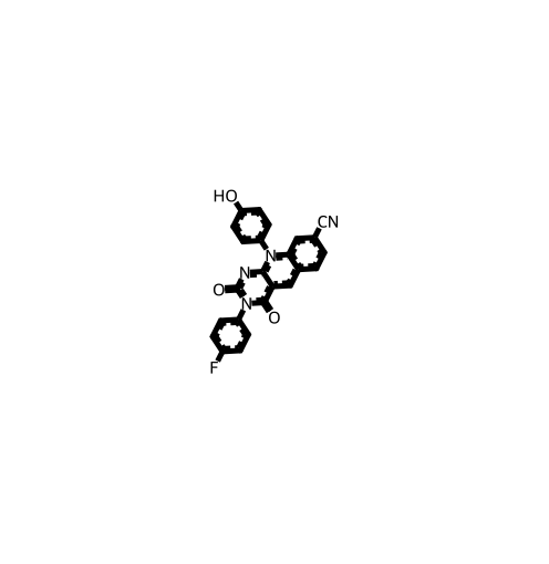 N#Cc1ccc2cc3c(=O)n(-c4ccc(F)cc4)c(=O)nc-3n(-c3ccc(O)cc3)c2c1